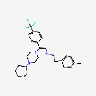 Cc1ccc(CCNCC(c2ccc(C(F)(F)F)cc2)N2CCN(C3CCCCC3)CC2)cc1